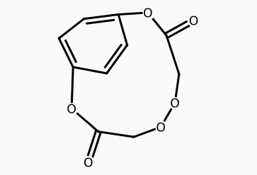 O=C1COOCC(=O)Oc2ccc(cc2)O1